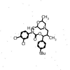 CC1CN(CC(C)C(OC(=O)Nc2ccc(Cl)c(Cl)c2)c2ccc(C(C)(C)C)cc2)CC(C)O1